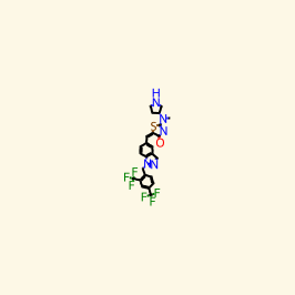 CN(C1=NC(=O)C(=Cc2ccc3c(cnn3Cc3ccc(C(F)(F)F)cc3C(F)(F)F)c2)S1)C1CCNC1